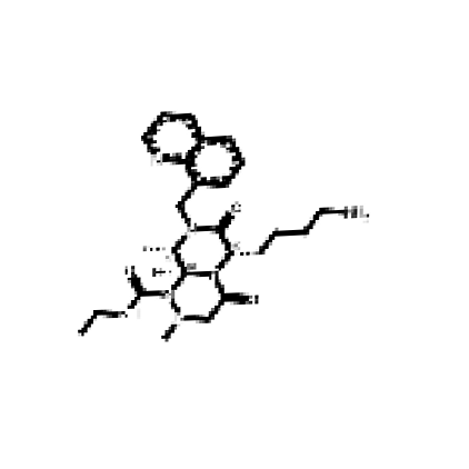 CCNC(=O)N1[C@H]2[C@H](C)N(Cc3cccc4cccnc34)C(=O)[C@H](CCCCN)N2C(=O)CN1C